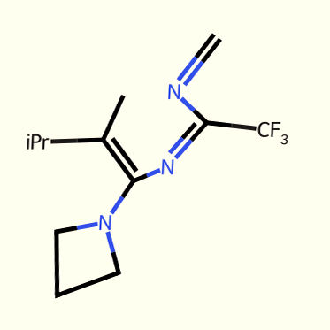 C=N/C(=N\C(=C(/C)C(C)C)N1CCC1)C(F)(F)F